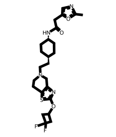 Cc1ncc(CC(=O)N[C@H]2CC[C@H](CCN3CCc4sc(OC5CC(F)(F)C5)nc4C3)CC2)o1